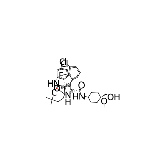 CO[C@]1(CO)CC[C@@H](NC(=O)[C@@H]2NC3(CCC(C)(C)CC3)[C@@]3(C(=O)Nc4cc(Cl)ccc43)[C@H]2c2cccc(Cl)c2F)CC1